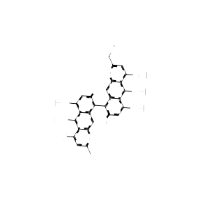 CC(=O)Cc1cc(O)c2c(O)c3c(O)cc(=O)c(-c4c(=O)cc(O)c5c(O)c6c(O)cc(C)oc6cc45)c3cc2o1